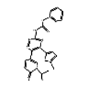 Cc1ccc(-c2nc(NC(=O)Oc3ccccc3)nnc2-c2ccc(=O)n(C(C)C)c2)o1